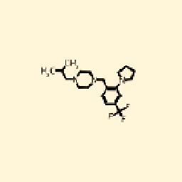 C[C](C)CN1CCN(Cc2ccc(C(F)(F)F)cc2N2CCCC2)CC1